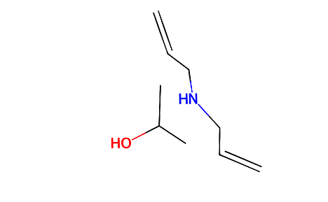 C=CCNCC=C.CC(C)O